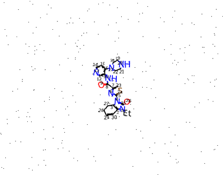 CCn1c2c(n(-c3nc(C(=O)Nc4cnccc4N4CCNCC4)cs3)c1=O)CCC=C2